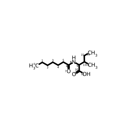 CCCCCCC(=O)NC(C(=O)O)C(C)CC